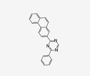 c1ccc(-c2ncnc(-c3ccc4c(ccc5ccccc54)c3)n2)cc1